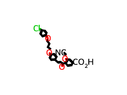 N#CCOc1cc(C(=O)O)ccc1C(=O)/C=C/c1ccc(OCCCCOc2ccc(Cl)cc2)cc1